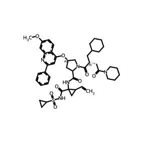 C=CC1CC1(NC(=O)C1C[C@@H](Oc2cc(-c3ccccc3)nc3cc(OC)ccc23)CN1C(=O)[C@@H](CC(=O)N1CCCCC1)CC1CCCCC1)C(=O)NS(=O)(=O)C1CC1